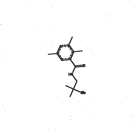 Cc1cc(C)c(C)c(C(=O)NCC(C)(C)C(C)(C)C)c1